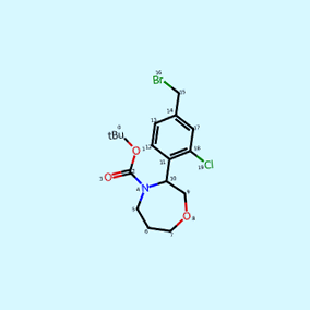 CC(C)(C)OC(=O)N1CCCOCC1c1ccc(CBr)cc1Cl